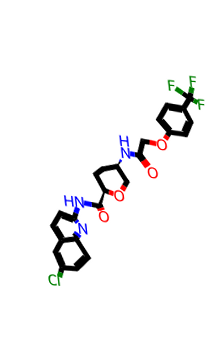 O=C(COc1ccc(C(F)(F)F)cc1)N[C@H]1CC[C@H](C(=O)Nc2ccc3cc(Cl)ccc3n2)OC1